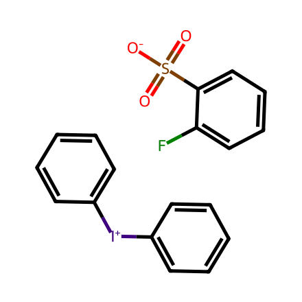 O=S(=O)([O-])c1ccccc1F.c1ccc([I+]c2ccccc2)cc1